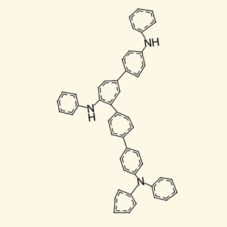 c1ccc(Nc2ccc(-c3ccc(Nc4ccccc4)c(-c4ccc(-c5ccc(N(c6ccccc6)c6ccccc6)cc5)cc4)c3)cc2)cc1